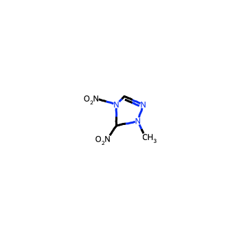 CN1N=CN([N+](=O)[O-])C1[N+](=O)[O-]